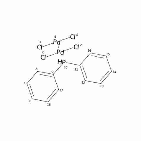 [Cl][Pd][Cl].[Cl][Pd][Cl].c1ccc(Pc2ccccc2)cc1